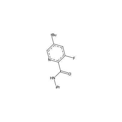 CC(C)NC(=O)c1ncc(C(C)(C)C)cc1F